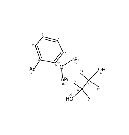 CC(=O)c1ccccc1.CC(C)(O)C(C)(C)O.CCCOCCC